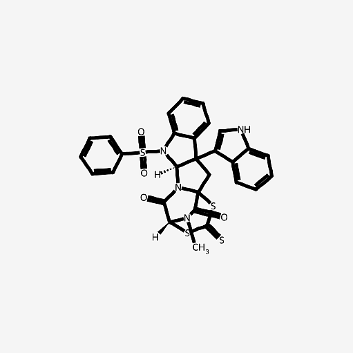 CN1C(=O)C23CC4(c5c[nH]c6ccccc56)c5ccccc5N(S(=O)(=O)c5ccccc5)[C@@H]4N2C(=O)[C@H]1SC(=S)S3